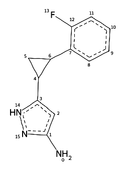 Nc1cc(C2CC2c2ccccc2F)[nH]n1